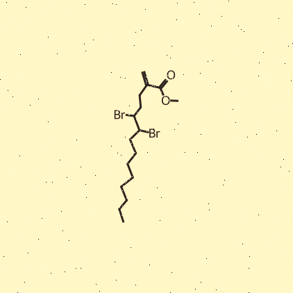 C=C(CCC(Br)C(Br)CCCCCCCC)C(=O)OC